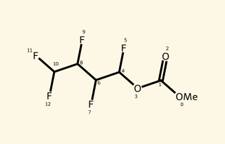 COC(=O)OC(F)C(F)C(F)C(F)F